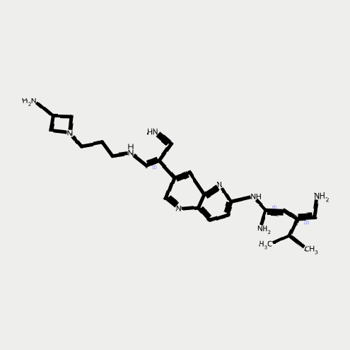 CC(C)C(=C/N)/C=C(\N)Nc1ccc2ncc(/C(C=N)=C/NCCCN3CC(N)C3)cc2n1